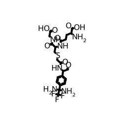 NC(CCC(=O)NC(CSCC(=O)NC(C=O)c1ccc(C(N)(N)C(F)(F)F)cc1)C(=O)NCC(=O)O)C(=O)O